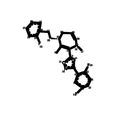 CC1=C(c2nc(-c3cc(F)ccc3F)no2)N(C)C=CC[C@H]1CCc1ccccc1F